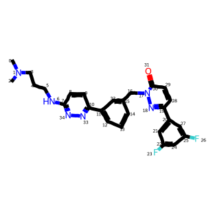 CN(C)CCCNc1ccc(-c2cccc(Cn3nc(-c4cc(F)cc(F)c4)ccc3=O)c2)nn1